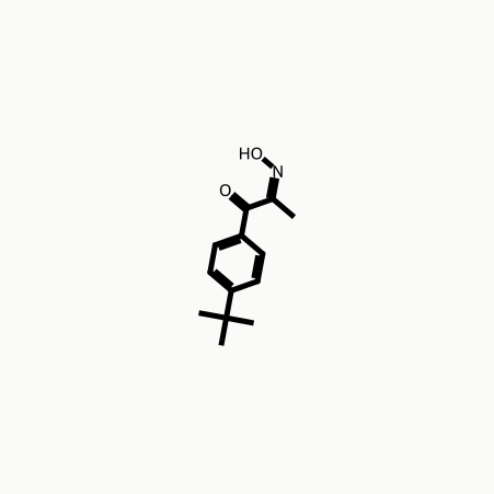 C/C(=N/O)C(=O)c1ccc(C(C)(C)C)cc1